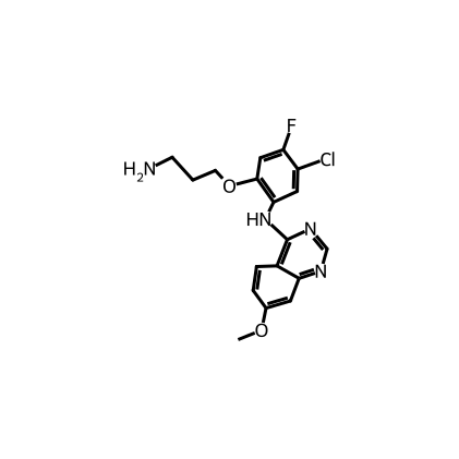 COc1ccc2c(Nc3cc(Cl)c(F)cc3OCCCN)ncnc2c1